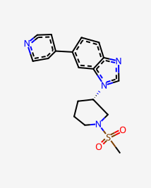 CS(=O)(=O)N1CCC[C@H](n2cnc3ccc(-c4ccncc4)cc32)C1